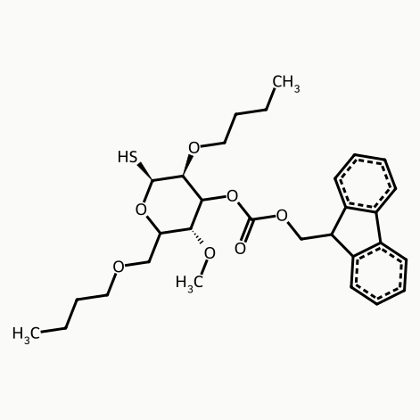 CCCCOCC1O[C@@H](S)[C@@H](OCCCC)C(OC(=O)OCC2c3ccccc3-c3ccccc32)[C@@H]1OC